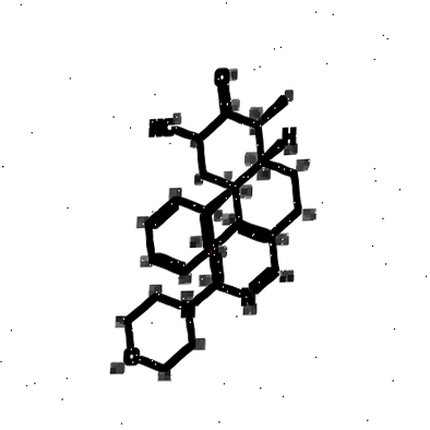 C[C@@H]1C(=O)C(C#N)C[C@@]2(c3ccccc3)c3nc(N4CCOCC4)ncc3CC[C@@H]12